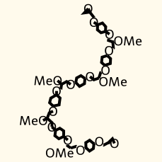 COC(COC1CCC(OCC(COC2CCC(OCC(COC3CCC(OCC4CO4)CC3)OC)CC2)OC)CC1)COC1CCC(OCC(COC2CCC(OCC(COC3CCC(OCC4CO4)CC3)OC)CC2)OC)CC1